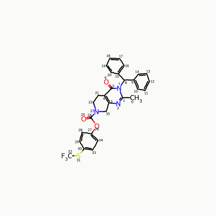 Cc1nc2c(c(=O)n1C(c1ccccc1)c1ccccc1)CCN(C(=O)Oc1ccc(SC(F)(F)F)cc1)C2